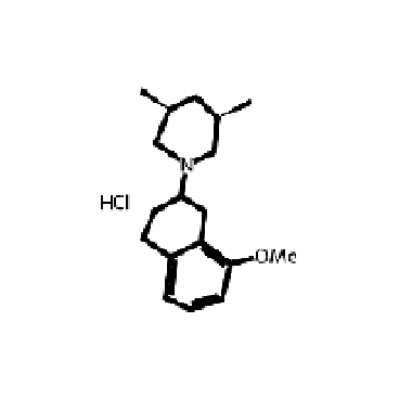 COc1cccc2c1CC(N1C[C@H](C)C[C@H](C)C1)CC2.Cl